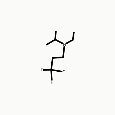 CCN(CCC(F)(F)F)C(C)C